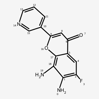 Nc1c(F)cc2c(=O)cc(-c3cccnc3)oc2c1N